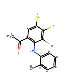 COC(=O)c1cc(S)c(F)c(F)c1Nc1ccccc1Cl